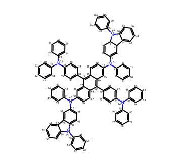 C1=CC2C(C=C1N(c1ccccc1)c1ccc3c(-c4ccc(N(c5ccccc5)c5ccccc5)cc4)c4cc(N(c5ccccc5)c5ccc6c(c5)c5ccccc5n6-c5ccccc5)ccc4c(-c4ccc(N(c5ccccc5)c5ccccc5)cc4)c3c1)c1ccccc1N2c1ccccc1